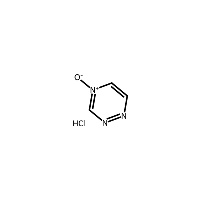 Cl.[O-][n+]1ccnnc1